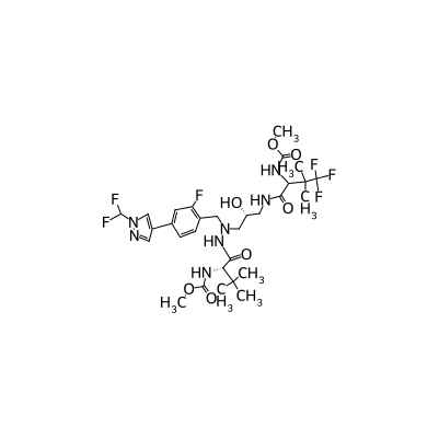 COC(=O)NC(C(=O)NC[C@@H](O)CN(Cc1ccc(-c2cnn(C(F)F)c2)cc1F)NC(=O)[C@@H](NC(=O)OC)C(C)(C)C)C(C)(C)C(F)(F)F